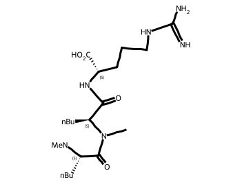 CCCC[C@H](NC)C(=O)N(C)[C@@H](CCCC)C(=O)N[C@@H](CCCNC(=N)N)C(=O)O